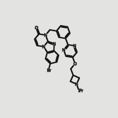 CC(C)N1CC(COc2cnc(-c3cccc(Cn4c(=O)ccn5c6cc(Br)ccc6nc45)c3)nc2)C1